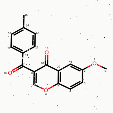 COc1ccc2occ(C(=O)c3ccc(C)cc3)c(=O)c2c1